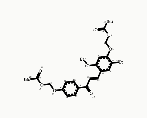 CCOc1cc(OCOC(=O)C(C)(C)C)c(CC)cc1/C=C/C(=O)c1ccc(OCOC(=O)C(C)(C)C)cc1